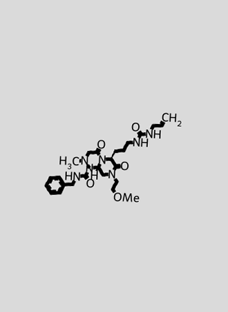 C=CCNC(=O)NCCC[C@H]1C(=O)N(CCOC)C[C@H]2N1C(=O)CN(C)N2C(=O)NCc1ccccc1